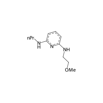 CCCNc1cccc(NCCOC)n1